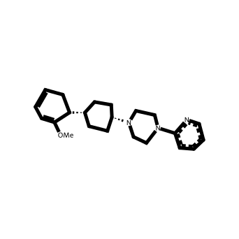 COC1=CC=CCC1[C@H]1CC[C@@H](N2CCN(c3ccccn3)CC2)CC1